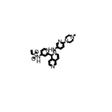 C=CS(=O)(=O)Nc1ccnc(C2c3ccncc3C=CN2Nc2ccc(N3CCN(C)CC3)nc2)c1